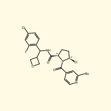 CC[C@@H]1CC[C@H](C(=O)NC(c2ccc(Cl)cc2F)C2COC2)N1C(=O)c1ccnc(C(C)(C)C)c1